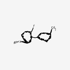 COc1ccc(F)c(-c2cccc(C)c2)c1